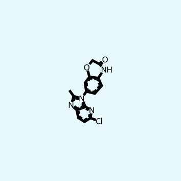 Cc1nc2ccc(Cl)nc2n1-c1ccc2c(c1)OCC(=O)N2